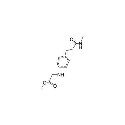 CNC(=O)CCc1ccc(NCC(=O)OC)cc1